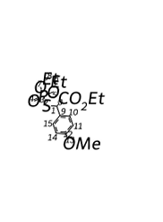 CCOC(=O)C(SP(=O)(OCC)OCC)c1ccc(OC)cc1